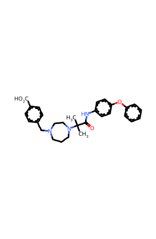 CC(C)(C(=O)Nc1ccc(Oc2ccccc2)cc1)N1CCCN(Cc2ccc(C(=O)O)cc2)CC1